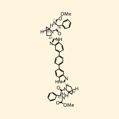 COO/C=N\[C@@H](C(=O)N1[C@H](c2nc3cc(-c4ccc(-c5ccc6[nH]c([C@@H]7C[C@@H]8C[C@@H]8N7C(=O)[C@H](NC(=O)OC)c7ccccc7)nc6c5)cc4)ccc3[nH]2)C[C@@H]2C[C@@H]21)c1ccccc1